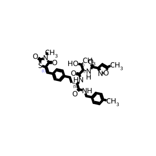 Cc1ccc(CNC(=O)[C@H](CCc2ccc(/C=C3/SC(=O)N(C)C3=O)cc2)NC(=O)[C@@H](NC(=O)c2cc(C)on2)[C@@H](C)O)cc1